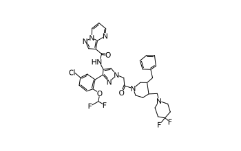 O=C(Nc1cn(CC(=O)N2CCC(CN3CCC(F)(F)CC3)C(Cc3ccccc3)C2)nc1-c1cc(Cl)ccc1OC(F)F)c1cnn2cccnc12